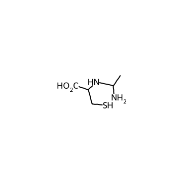 CC(N)NC(CS)C(=O)O